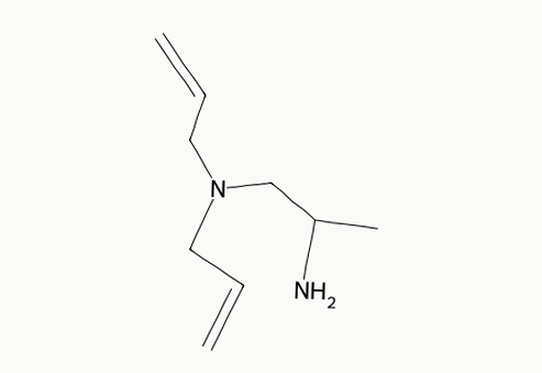 C=CCN(CC=C)CC(C)N